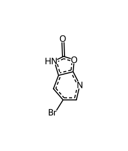 O=c1[nH]c2cc(Br)cnc2o1